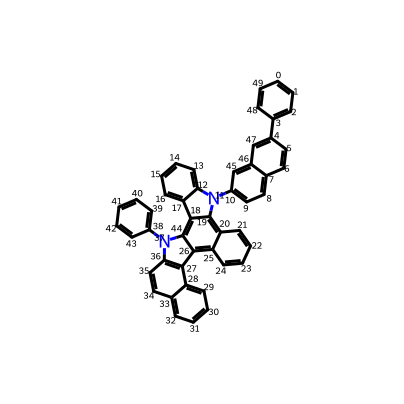 c1ccc(-c2ccc3ccc(-n4c5ccccc5c5c4c4ccccc4c4c6c7ccccc7ccc6n(-c6ccccc6)c45)cc3c2)cc1